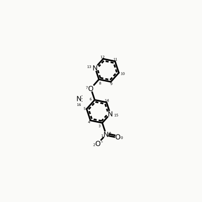 O=[N+]([O-])c1ccc(Oc2ccccn2)cn1.[N]